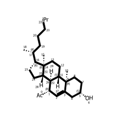 CC(=O)[C@H]1C=C2C[C@@H](O)CC[C@]2(C)[C@H]2CC[C@]3(C)[C@@H]([C@H](C)CCCC(C)C)CC[C@H]3[C@H]12